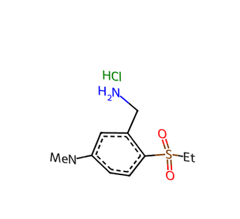 CCS(=O)(=O)c1ccc(NC)cc1CN.Cl